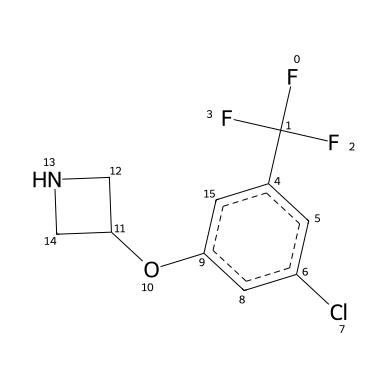 FC(F)(F)c1cc(Cl)cc(OC2CNC2)c1